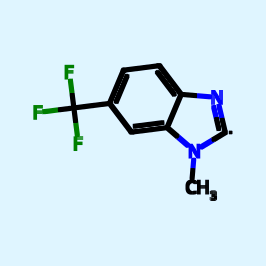 Cn1[c]nc2ccc(C(F)(F)F)cc21